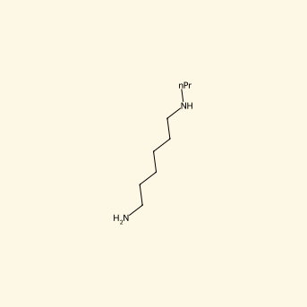 [CH2]CCNCCCCCCN